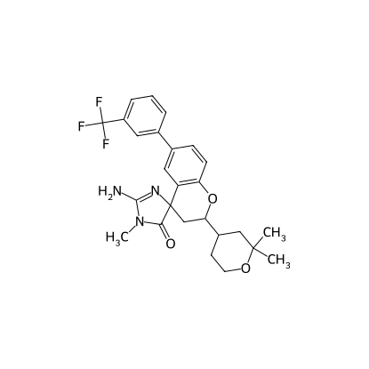 CN1C(=O)C2(CC(C3CCOC(C)(C)C3)Oc3ccc(-c4cccc(C(F)(F)F)c4)cc32)N=C1N